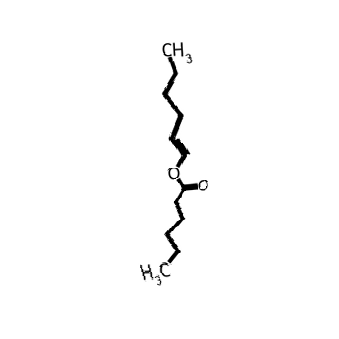 CCCCC=COC(=O)CCCCC